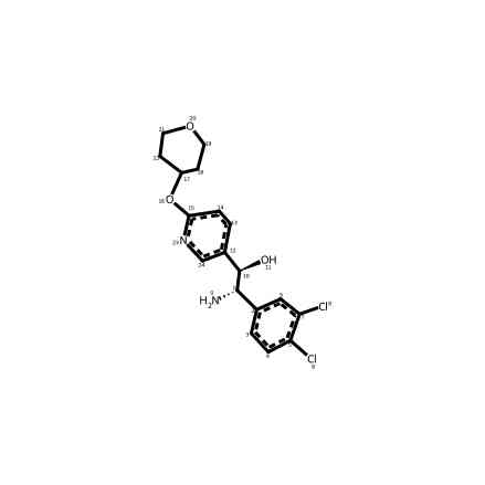 N[C@@H](c1ccc(Cl)c(Cl)c1)[C@H](O)c1ccc(OC2CCOCC2)nc1